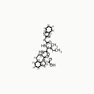 CC[C@H](C)[C@H](NC(=O)Cc1nc2ccccc2s1)C(=O)N[C@H]1CCc2cccc3c2N(C1=O)[C@H](C(=O)O)C3